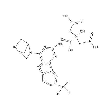 Nc1nc(N2CC3CC2CN3)c2oc3ccc(C(F)(F)F)cc3c2n1.O=C(O)CC(O)(CC(=O)O)C(=O)O